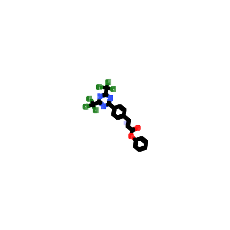 O=C(/C=C/c1ccc(-c2nc(C(Cl)(Cl)Cl)nc(C(Cl)(Cl)Cl)n2)cc1)Oc1ccccc1